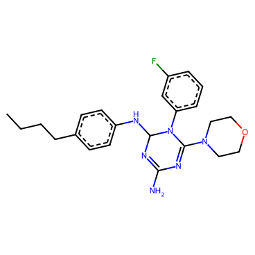 CCCCc1ccc(NC2N=C(N)N=C(N3CCOCC3)N2c2cccc(F)c2)cc1